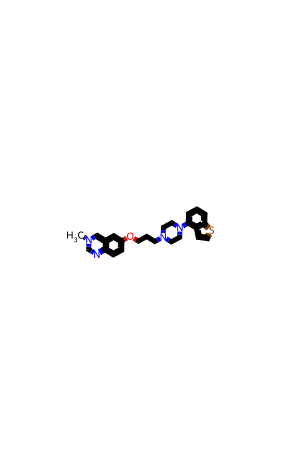 CN1C=c2cc(OCCCN3CCN(c4cccc5sccc45)CC3)ccc2=NC1